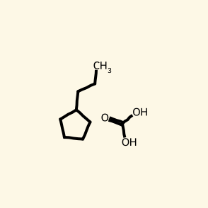 CCCC1CCCC1.O=C(O)O